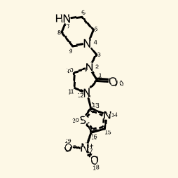 O=C1N(CN2CCNCC2)CCN1c1ncc([N+](=O)[O-])s1